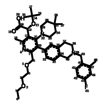 CCOCCOCc1nc(C)c([C@H](OC(C)(C)C)C(=O)O)c(N2CCC(C)(C)CC2)c1-c1ccc2c(c1)CCN(Cc1ccc(F)cc1C)C2